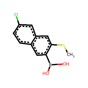 CSc1cc2cc(Cl)ccc2cc1B(O)O